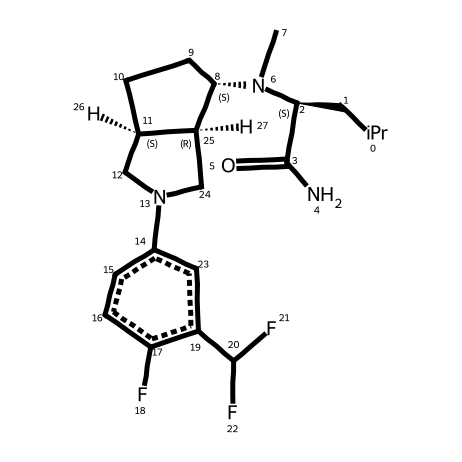 CC(C)C[C@@H](C(N)=O)N(C)[C@H]1CC[C@@H]2CN(c3ccc(F)c(C(F)F)c3)C[C@@H]21